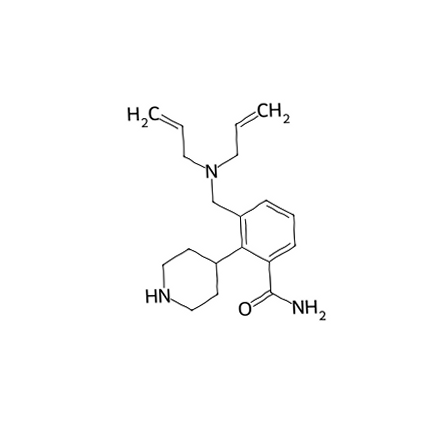 C=CCN(CC=C)Cc1cccc(C(N)=O)c1C1CCNCC1